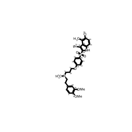 COc1ccc(CCN(C)CCCOc2ccc(S(=O)(=O)c3[nH]c4ccc(Cl)c(C)c4c3C(C)C)cc2)cc1OC